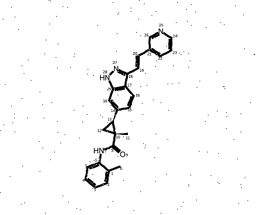 Cc1ccccc1NC(=O)[C@]1(C)C[C@H]1c1ccc2c(/C=C/c3cccnc3)n[nH]c2c1